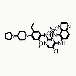 CCc1cc(Nc2ncc(Cl)c(Nc3ccc4nccnc4c3NS(C)(=O)=O)n2)c(OC)cc1N1CCC(N2CCCC2)CC1